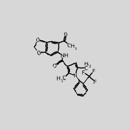 CC(=O)c1cc2c(cc1NC(=O)c1cc(C)n(-c3ccccc3C(F)(F)F)c1C)OCO2